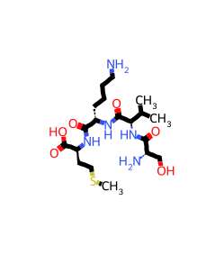 CSCC[C@H](NC(=O)[C@H](CCCCN)NC(=O)[C@@H](NC(=O)[C@@H](N)CO)C(C)C)C(=O)O